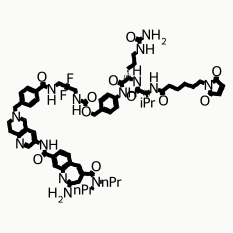 CCCN(CCC)C(=O)C1=Cc2ccc(C(=O)Nc3cnc4c(c3)CN(Cc3ccc(C(=O)NCC(F)(F)CNC(=O)OCc5ccc(NC(=O)[C@H](CCCNC(N)=O)NC(=O)[C@@H](NC(=O)CCCCCN6C(=O)C=CC6=O)C(C)C)cc5)cc3)CC4)cc2N=C(N)C1